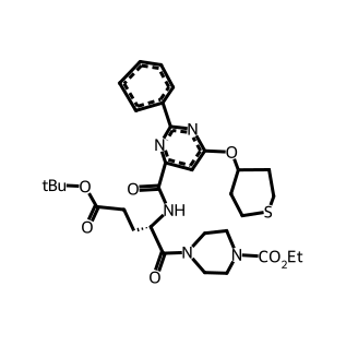 CCOC(=O)N1CCN(C(=O)[C@H](CCC(=O)OC(C)(C)C)NC(=O)c2cc(OC3CCSCC3)nc(-c3ccccc3)n2)CC1